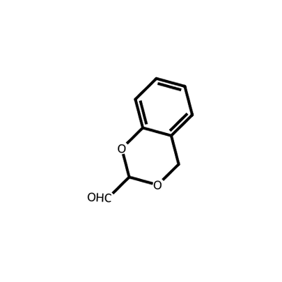 O=CC1OCc2ccccc2O1